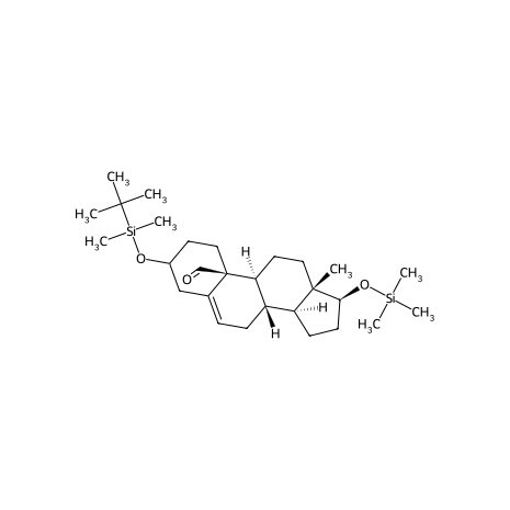 CC(C)(C)[Si](C)(C)OC1CC[C@@]2(C=O)C(=CC[C@H]3[C@@H]4CC[C@H](O[Si](C)(C)C)[C@@]4(C)CC[C@@H]32)C1